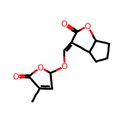 CC1=CC(O/C=C2/C(=O)OC3CCCC23)OC1=O